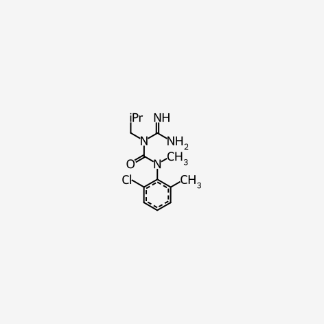 Cc1cccc(Cl)c1N(C)C(=O)N(CC(C)C)C(=N)N